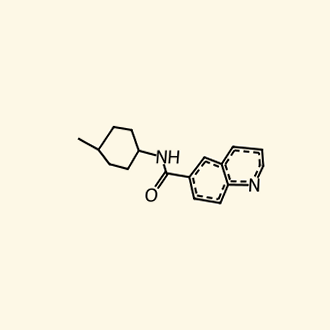 CC1CCC(NC(=O)c2ccc3ncccc3c2)CC1